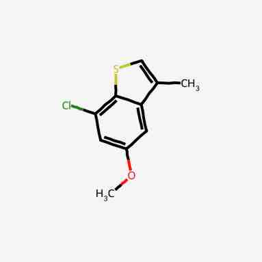 COc1cc(Cl)c2scc(C)c2c1